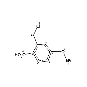 CCCOc1ccc(C(=O)O)c(CCl)c1